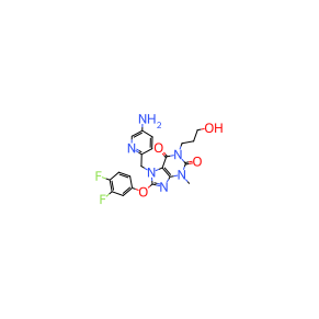 Cn1c(=O)n(CCCO)c(=O)c2c1nc(Oc1ccc(F)c(F)c1)n2Cc1ccc(N)cn1